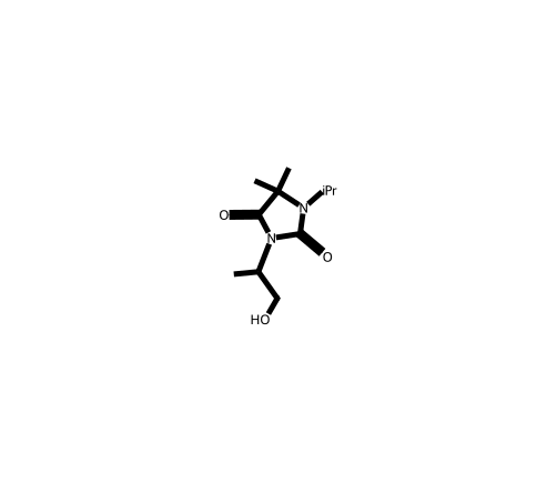 CC(CO)N1C(=O)N(C(C)C)C(C)(C)C1=O